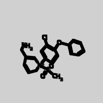 CS(=O)(=O)[N+]1(c2ccc(Oc3ccccc3)c(Cl)c2)C=C(CN)C=CC1